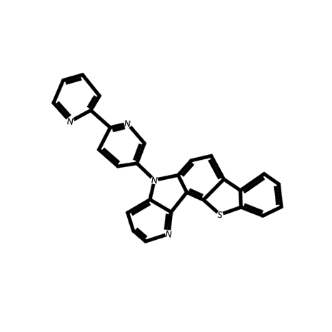 c1ccc(-c2ccc(-n3c4cccnc4c4c5sc6ccccc6c5ccc43)cn2)nc1